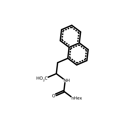 CCCCCCC(=O)NC(Cc1cccc2ccccc12)C(=O)O